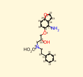 Nc1c(OC[C@@H](O)CN(CCc2ccccc2)C(=O)O)ccc2occc12